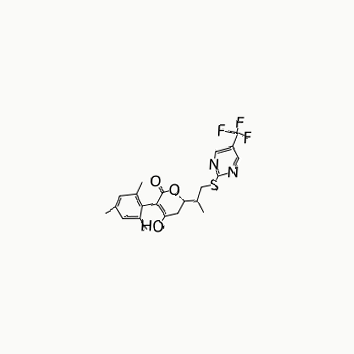 Cc1cc(C)c(C2=C(O)CC(C(C)CSc3ncc(C(F)(F)F)cn3)OC2=O)c(C)c1